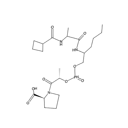 CCCCC(CO[PH](=O)O[C@@H](C)C(=O)N1CCC[C@H]1C(=O)O)NC(=O)C(C)NC(=O)C1CCC1